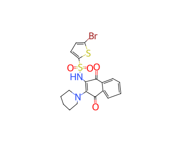 O=C1C(NS(=O)(=O)c2ccc(Br)s2)=C(N2CCCCC2)C(=O)c2ccccc21